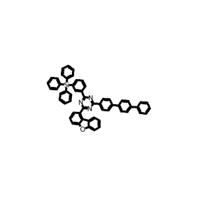 c1ccc(-c2ccc(-c3ccc(-c4nc(-c5cccc([Si](c6ccccc6)(c6ccccc6)c6ccccc6)c5)nc(-c5cccc6oc7ccccc7c56)n4)cc3)cc2)cc1